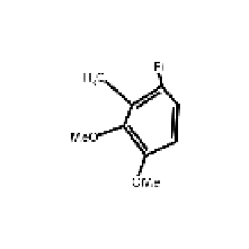 CCc1ccc(OC)c(OC)c1C